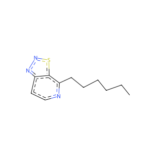 CCCCCCc1nccc2nnsc12